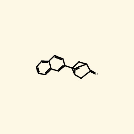 O=C1CC2CCC1C=C2c1ccc2ccccc2c1